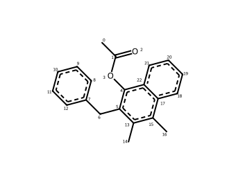 CC(=O)Oc1c(Cc2ccccc2)c(C)c(C)c2ccccc12